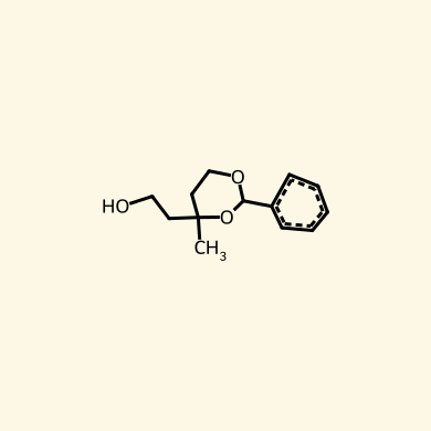 CC1(CCO)CCOC(c2ccccc2)O1